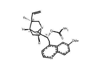 C=C[C@H]1CN2CC[C@H]1C[C@H]2[C@H](OC(N)=O)c1ccnc2ccc(OC)cc12